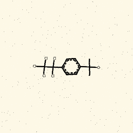 CC(C)([O])c1ccc(C(Cl)(Cl)C(Cl)(Cl)Cl)cc1